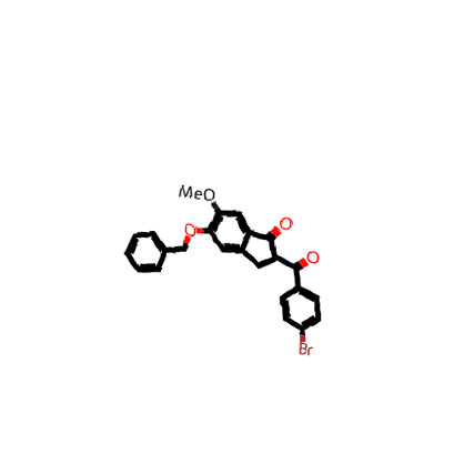 COc1cc2c(cc1OCc1ccccc1)CC(C(=O)c1ccc(Br)cc1)C2=O